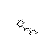 CC(C)CC(=O)NC(C)c1ccccc1